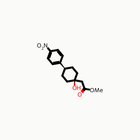 COC(=O)C[C@]1(O)CC[C@@H](c2ccc([N+](=O)[O-])cc2)CC1